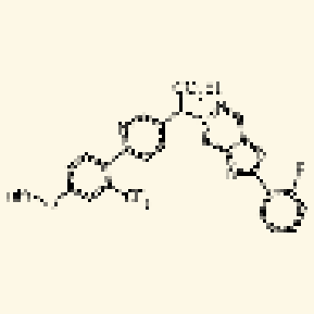 CCCOc1ccc(-c2ccc(C(C(=O)OCC)n3cc4nc(-c5ccccc5F)nc-4cn3)cn2)c(C(F)(F)F)c1